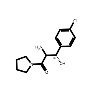 NC(C(=O)N1CCCC1)[C@@H](O)c1ccc(Cl)cc1